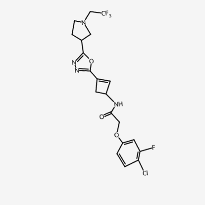 O=C(COc1ccc(Cl)c(F)c1)NC1C=C(c2nnc(C3CCN(CC(F)(F)F)C3)o2)C1